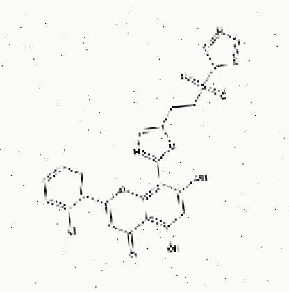 O=c1cc(-c2ccccc2Cl)oc2c(-c3ncc(CCS(=O)(=O)n4cncn4)o3)c(O)cc(O)c12